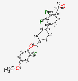 COc1ccc(OCC2CCC(c3ccc(C4CO4)c(F)c3F)CC2)c(F)c1